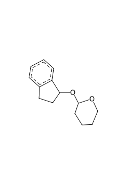 c1ccc2c(c1)CCC2OC1CCCCO1